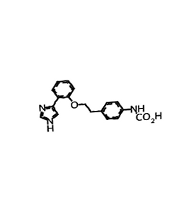 O=C(O)Nc1ccc(CCOc2ccccc2-c2c[nH]cn2)cc1